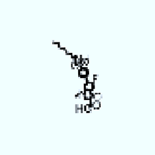 CCCCCCCNS(=O)(=O)c1ccc(-c2cc3c(cc2F)c(=O)c(C(=O)O)cn3CC)cc1